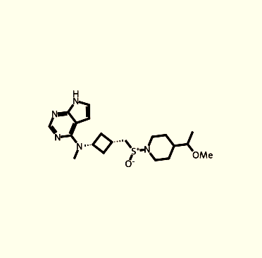 COC(C)C1CCN([S+]([O-])C[C@H]2C[C@@H](N(C)c3ncnc4[nH]ccc34)C2)CC1